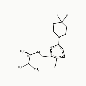 CC(C)[C@@H](C)NCc1nc(N2CCC(F)(F)CC2)ccc1F